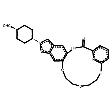 O=C[C@H]1CC[C@H](n2cc3cc4c(cc3n2)OCCOCCOc2cccc(n2)C(=O)N4)CC1